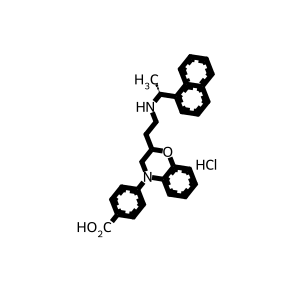 C[C@@H](NCCC1CN(c2ccc(C(=O)O)cc2)c2ccccc2O1)c1cccc2ccccc12.Cl